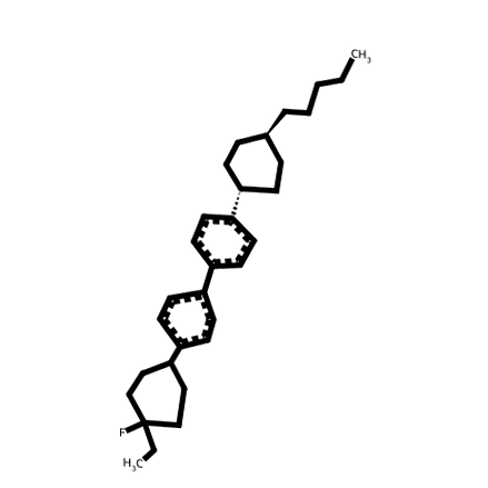 CCCCC[C@H]1CC[C@H](c2ccc(-c3ccc(C4CCC(F)(CC)CC4)cc3)cc2)CC1